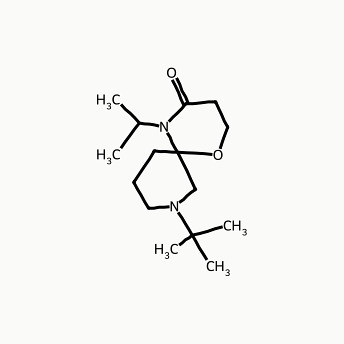 CC(C)N1C(=O)CCOC12CCCN(C(C)(C)C)C2